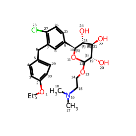 CCOc1ccc(Cc2cc([C@@H]3OC(OCCN(C)C)[C@@H](O)[C@H](O)[C@H]3O)ccc2Cl)cc1